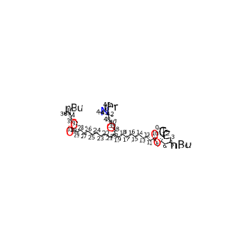 C=C=C=CC(CCCC)CCOC(=O)CCCCCCCCCC(CCCCCCCCCC(=O)OCCC(C)CCCC)COCCCN(C)C(C)C